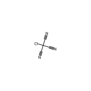 N#CC(Cl)(C#N)C#N